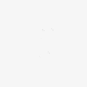 CC(=O)NC1=CN=NC1=O